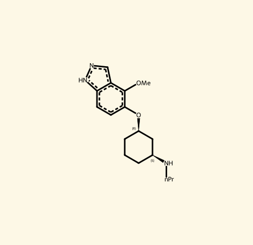 CCCN[C@H]1CCC[C@@H](Oc2ccc3[nH]ncc3c2OC)C1